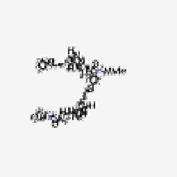 CNC/C=C(/C(=O)N1CCC(Nc2ncnc3[nH]c(C#CCOc4ccccc4)cc23)C1)c1ccc(OCC#Cc2cc3c(NC4CCN(C(=O)/C=C/CN5CCOCC5)C4)ncnc3[nH]2)cc1